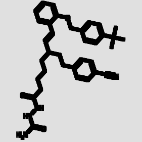 CC(C)(C)c1ccc(COc2ccccc2/C=C/C(CCCCC(=O)NNC(N)=O)CCc2ccc(C#N)cc2)cc1